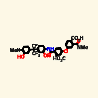 CNC(=O)c1cc(Oc2ccc(C(=O)Nc3ccc(C(c4ccc(NC)c(O)c4)(C(F)(F)F)C(F)(F)F)cc3O)c(C(=O)O)c2)ccc1C(=O)O